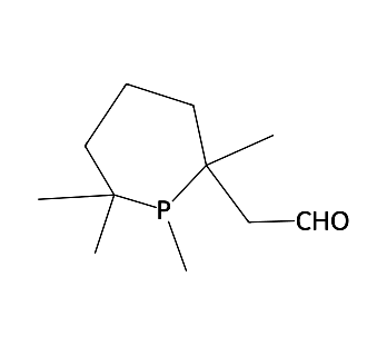 CP1C(C)(C)CCCC1(C)CC=O